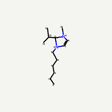 CCCCCCN1C=CN(C)C1C(C)C